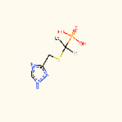 CCC(CC)(SCc1nc[nH]n1)P(=O)(O)O